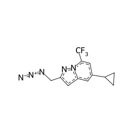 [N-]=[N+]=NCc1cc2cc(C3CC3)cc(C(F)(F)F)n2n1